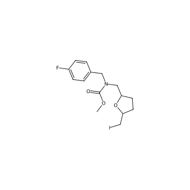 COC(=O)N(Cc1ccc(F)cc1)CC1CCC(CI)O1